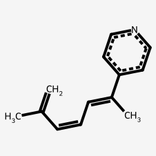 C=C(C)/C=C\C=C(/C)c1ccncc1